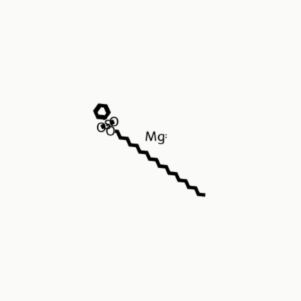 CCCCCCCCCCCCCCCCCCCOS(=O)(=O)c1ccccc1.[Mg]